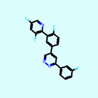 Fc1cccc(-c2cc(-c3ccc(F)c(-c4ncc(F)cc4F)c3)cnn2)c1